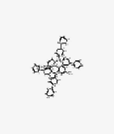 N#Cc1ccc(-n2c3ccc(-c4ccccc4)cc3c3cc(-c4ccccc4)ccc32)c(-c2ccc(C#N)cc2-n2c3ccc(-c4ccccc4)cc3c3cc(-c4ccccc4)ccc32)c1